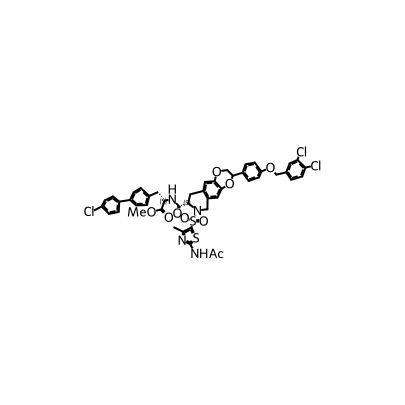 COC(=O)[C@H](Cc1ccc(-c2ccc(Cl)cc2)cc1)NC(=O)[C@@H]1Cc2cc3c(cc2CN1S(=O)(=O)c1sc(NC(C)=O)nc1C)OC(c1ccc(OCc2ccc(Cl)c(Cl)c2)cc1)CO3